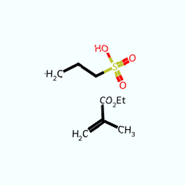 C=C(C)C(=O)OCC.[CH2]CCS(=O)(=O)O